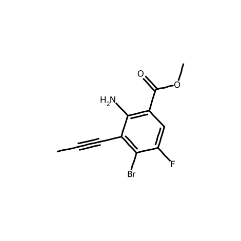 CC#Cc1c(N)c(C(=O)OC)cc(F)c1Br